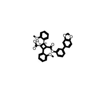 COc1ccccc1C1C(C(=O)Oc2cccc(-c3ccc4c(c3)OCO4)c2)[C@H](c2ccccc2OC)[C@@H]1C(=O)O